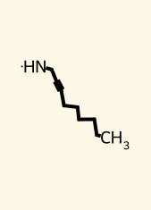 CCCCCCC#CC[NH]